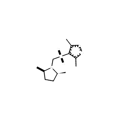 C=C1CC[C@H](C)N1CS(=O)(=O)c1c(C)noc1C